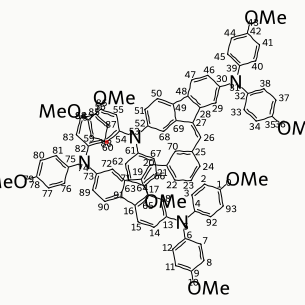 COc1ccc(N(c2ccc(OC)cc2)c2ccc3c(c2)C(=Cc2cccc(C=C4c5cc(N(c6ccc(OC)cc6)c6ccc(OC)cc6)ccc5-c5ccc(N(c6ccc(OC)cc6)c6ccc(OC)cc6)cc54)c2)c2cc(N(c4ccc(OC)cc4)c4ccc(OC)cc4)ccc2-3)cc1